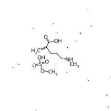 C=C(CCCNC)C(=O)O.COS(=O)(=O)O